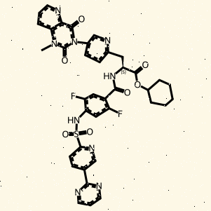 Cn1c(=O)n(-c2ccc(C[C@H](NC(=O)c3cc(F)c(NS(=O)(=O)c4ccc(-c5ncccn5)cn4)cc3F)C(=O)OC3CCCCC3)nc2)c(=O)c2ncccc21